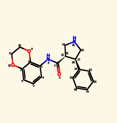 O=C(Nc1cccc2c1OCCO2)[C@@H]1CNC[C@H]1c1ccccc1